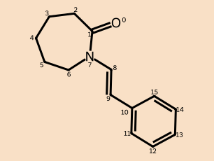 O=C1CCCCCN1C=Cc1ccccc1